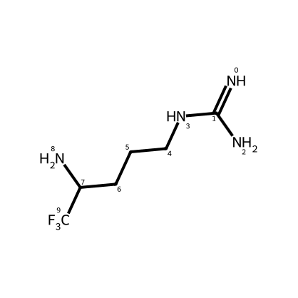 N=C(N)NCCCC(N)C(F)(F)F